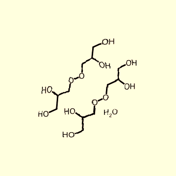 O.OCC(O)COOCC(O)CO.OCC(O)COOCC(O)CO